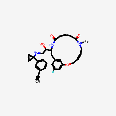 C#Cc1cccc(C2(NCC(O)C3Cc4cc(F)cc(c4)OCC=CCN(CCC)C(=O)CCCC(=O)N3)CC2)c1